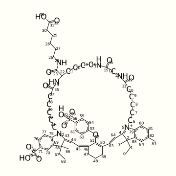 CCC1(C)C2=[N+](CCCCCC(=O)NCC(=O)NCCCCC(C(=O)NCCCCCC(=O)O)NC(=O)CCCCCN3/C(=C/C=C4\CCCC(=C4Oc4ccc(S(=O)(=O)O)cc4)/C=C/2)C(C)(CC)c2cc(S(=O)(=O)O)ccc23)c2ccc(C)cc21